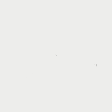 c1ccc(-c2ccc(N(c3ccc(-c4cccc5c4sc4ccccc45)cc3)c3ccc(-c4c5sc(-c6ccccc6)nc5cc5oc6ccccc6c45)cc3)cc2)cc1